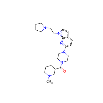 CN1CCCC(C(=O)N2CCN(c3ccc4ccn(CCN5CCCC5)c4n3)CC2)C1